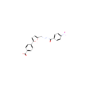 O=C(O)c1ccc(-c2ccc(CNNC(=O)c3ccc([N+](=O)[O-])cc3)o2)cc1